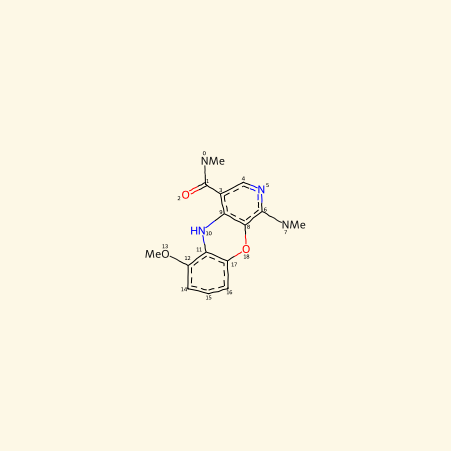 CNC(=O)c1cnc(NC)c2c1Nc1c(OC)cccc1O2